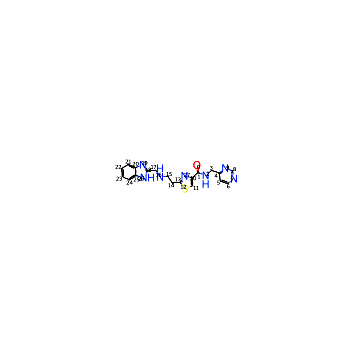 O=C(NCc1ccncn1)c1csc(CCNCc2nc3ccccc3[nH]2)n1